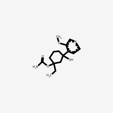 CCC1(OC(N)=O)CCCC(O)(c2ccncc2OC)C1